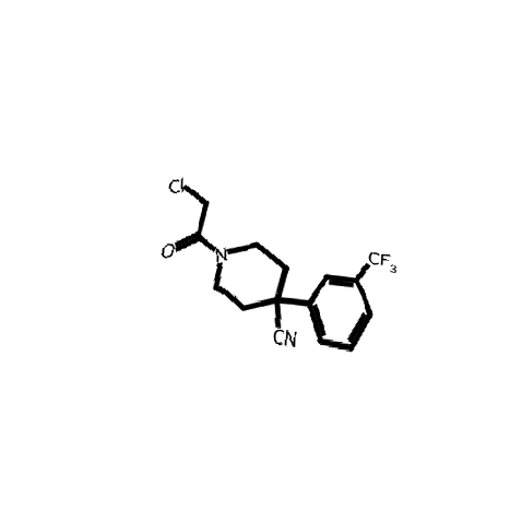 N#CC1(c2cccc(C(F)(F)F)c2)CCN(C(=O)CCl)CC1